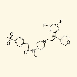 CCN(C(=O)Cc1ccc(S(C)(=O)=O)cc1)C1CCN(CC[C@@H](c2cc(F)cc(F)c2)C2CCOCC2)CC1